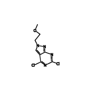 COCCn1cc2c(Cl)nc(Cl)nc2n1